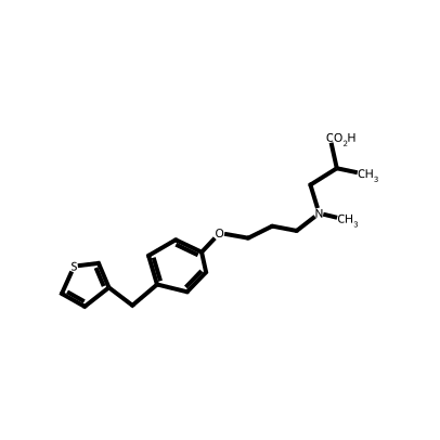 CC(CN(C)CCCOc1ccc(Cc2ccsc2)cc1)C(=O)O